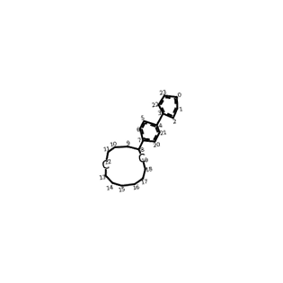 c1ccc(-c2ccc(C3CCCCCCCCCCC3)cc2)cc1